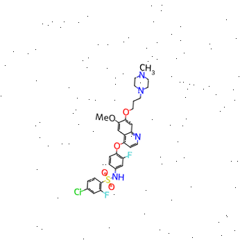 COc1cc2c(Oc3ccc(NS(=O)(=O)c4ccc(Cl)cc4F)cc3F)ccnc2cc1OCCCN1CCN(C)CC1